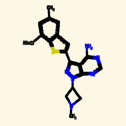 COc1cc(C)cc2cc(-c3nn(C4CN(C)C4)c4ncnc(N)c34)sc12